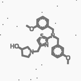 COc1cccc(CN(Cc2cccc(OC)c2)c2nc(CN3CCC(O)C3)cs2)c1